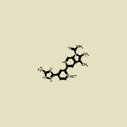 Cc1c(C)n(C(N)=O)c2cnc(-c3cc(-c4noc(C(F)(F)F)n4)ccn3)cc12.Cl